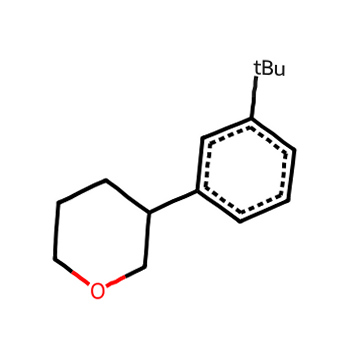 CC(C)(C)c1cccc(C2CCCOC2)c1